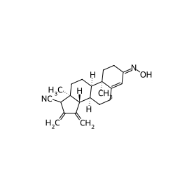 C=C1C(=C)[C@H]2[C@@H]3CCC4=CC(=NO)CC[C@]4(C)[C@@H]3CC[C@]2(C)C1C#N